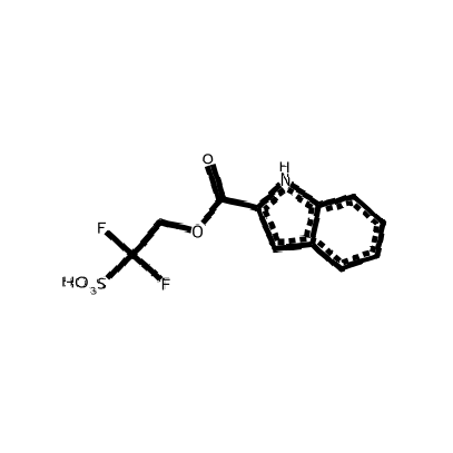 O=C(OCC(F)(F)S(=O)(=O)O)c1cc2ccccc2[nH]1